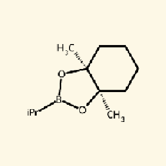 CC(C)B1O[C@]2(C)CCCC[C@]2(C)O1